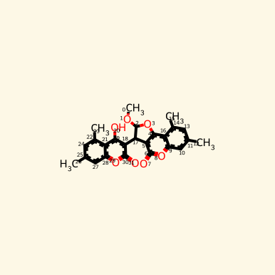 COC1Oc2c(c(=O)oc3cc(C)cc(C)c23)C1c1c(O)c2c(C)cc(C)cc2oc1=O